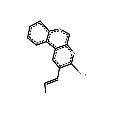 CC=Cc1cc2c(cnc3ccccc32)nc1N